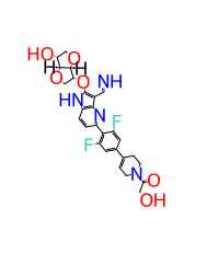 N=Cc1c(O[C@@H]2CO[C@H]3[C@@H]2OC[C@H]3O)[nH]c2ccc(-c3c(F)cc(C4=CCN(C(=O)CO)CC4)cc3F)nc12